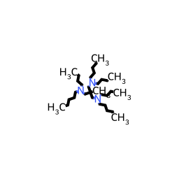 CCCCCN(CCCC)CC(C)(CN(CCCC)CCCCC)CN(CCCC)CCCCC